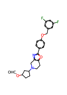 O=COC1CCC(N2CCc3oc(-c4ccc(OCc5cc(F)cc(F)c5)cc4)nc3C2)C1